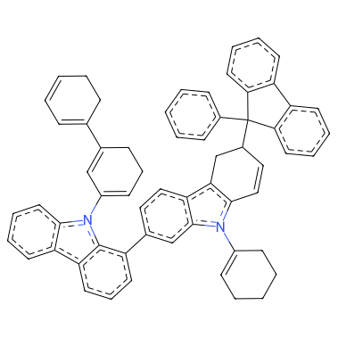 C1=CCCC(C2=CC(n3c4ccccc4c4cccc(-c5ccc6c7c(n(C8=CCCCC8)c6c5)C=CC(C5(c6ccccc6)c6ccccc6-c6ccccc65)C7)c43)=CCC2)=C1